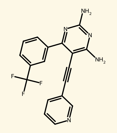 Nc1nc(N)c(C#Cc2cccnc2)c(-c2cccc(C(F)(F)F)c2)n1